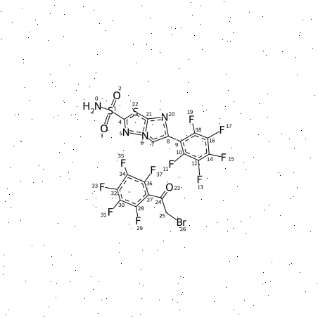 NS(=O)(=O)c1nn2cc(-c3c(F)c(F)c(F)c(F)c3F)nc2s1.O=C(CBr)c1c(F)c(F)c(F)c(F)c1F